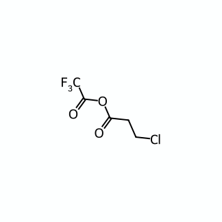 O=C(CCCl)OC(=O)C(F)(F)F